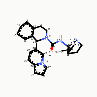 O=C(N[C@@H]1CN2CCC1CC2)N1CCc2ccccc2[C@@H]1c1ccc2cccn2c1